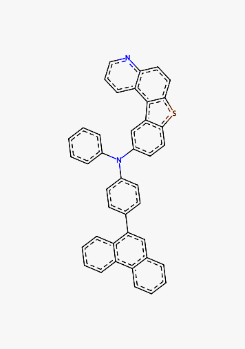 c1ccc(N(c2ccc(-c3cc4ccccc4c4ccccc34)cc2)c2ccc3sc4ccc5ncccc5c4c3c2)cc1